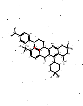 CC(C)c1cnc(N2CCC(c3nc4c(c(C5CCC(F)(F)CC5)c3C(F)c3ccc(C(F)(F)F)cc3)C(O)CC(C)(C)C4)CC2)nc1